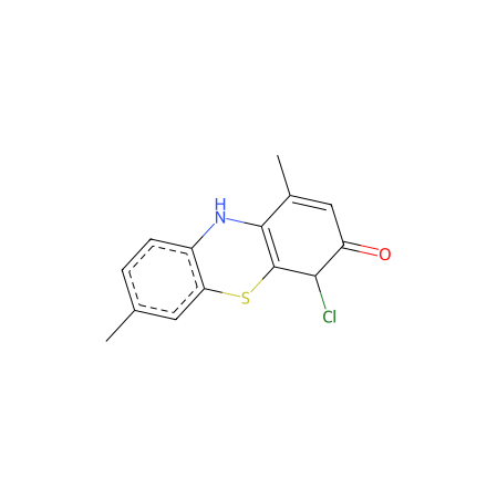 CC1=CC(=O)C(Cl)C2=C1Nc1ccc(C)cc1S2